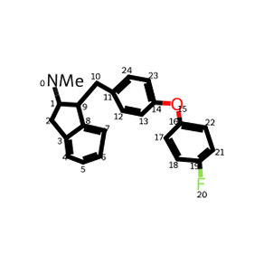 CNC1Cc2ccccc2C1Cc1ccc(Oc2ccc(F)cc2)cc1